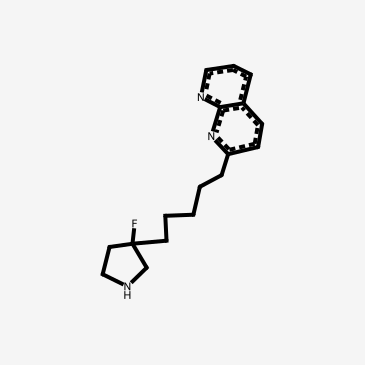 FC1(CCCCCc2ccc3cccnc3n2)CCNC1